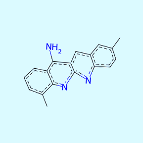 Cc1ccc2nc3nc4c(C)cccc4c(N)c3cc2c1